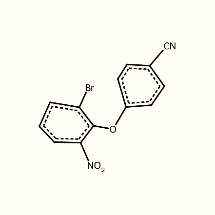 N#Cc1ccc(Oc2c(Br)cccc2[N+](=O)[O-])cc1